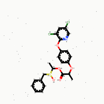 CC(Oc1ccc(Oc2ncc(Cl)cc2Cl)cc1)C(=O)OC(C)[S+]([O-])Cc1ccccc1